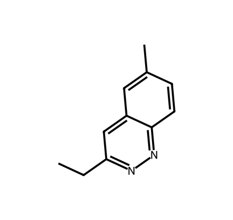 CCc1cc2cc(C)ccc2nn1